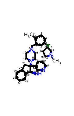 Cc1ccc(F)cc1CN1CCN(C2(c3cncc([C@@H]4CCCN4C)c3)Cc3ccccc3C2=N)CC1